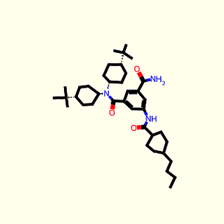 CCCCC1CCC(C(=O)Nc2cc(C(N)=O)cc(C(=O)N([C@H]3CC[C@@H](C(C)(C)C)CC3)[C@H]3CC[C@@H](C(C)(C)C)CC3)c2)CC1